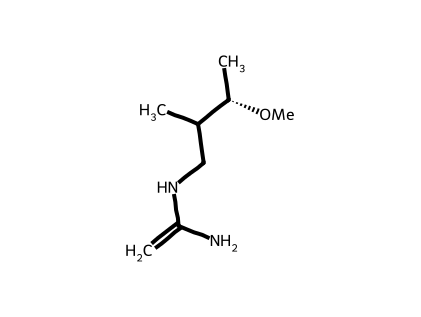 C=C(N)NCC(C)[C@H](C)OC